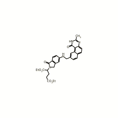 CCOC(=O)CCC(C(=O)OCC)N1Cc2cc(NCc3ccc4ccc5nc(C)[nH]c(=O)c5c4c3)ccc2C1=O